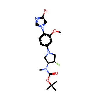 COc1cc(N2C[C@@H](F)[C@@H](N(C)C(=O)OC(C)(C)C)C2)ccc1-n1cnc(Br)c1